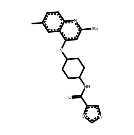 Cc1ccc2nc(C(C)(C)C)cc(NC3CCC(NC(=O)c4cnco4)CC3)c2c1